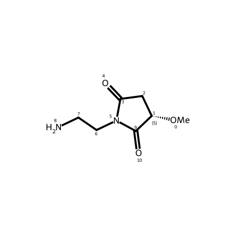 CO[C@H]1CC(=O)N(CCN)C1=O